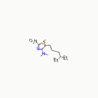 CCC(CC)CCCc1sc([N+](=O)[O-])nc1N(C)C